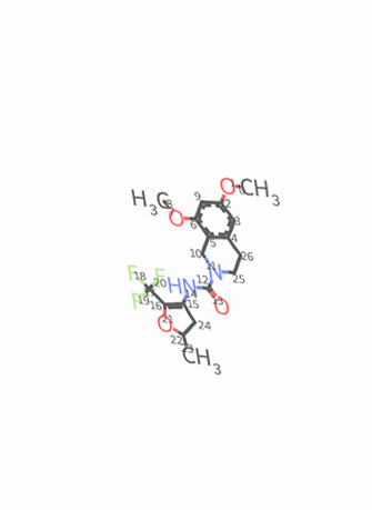 COc1cc2c(c(OC)c1)CN(C(=O)NC1=C(C(F)(F)F)OC(C)C1)CC2